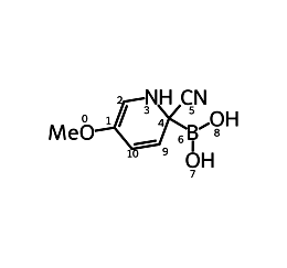 COC1=CNC(C#N)(B(O)O)C=C1